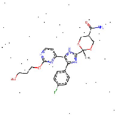 CC1(c2nc(-c3ccc(F)cc3)c(-c3ccnc(OCCCO)n3)[nH]2)OCC(C(N)=O)CO1